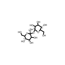 [2H][C@@]1(O[C@@]2([2H])OC(CO)[C@@H](O)[C@H](O)C2O)OC(CO)[C@@H](O)C(O)C1O